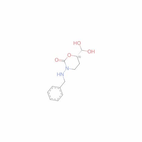 O=C1O[C@H](C(O)O)CCN1NCc1ccccc1